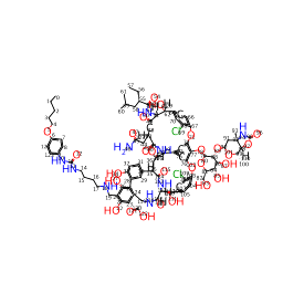 CCCCCOc1ccc(NC(=O)NCCCCNCc2c(O)cc3c(c2O)-c2cc(ccc2O)[C@H]2CC(=O)[C@@H]4NC(=O)[C@H](CC(N)=O)CC(=O)[C@H](NC(=O)[C@H](CC)CC(C)C)[C@H](O)c5ccc(c(Cl)c5)Oc5cc4cc(c5O[C@@H]4O[C@H](CO)[C@@H](O)[C@H](O)[C@H]4O[C@H]4C[C@]5(C)NC(=O)O[C@@H]5[C@H](C)O4)Oc4ccc(cc4Cl)[C@@H](O)[C@H](NC2=O)C(=O)N[C@@H]3C(=O)O)cc1